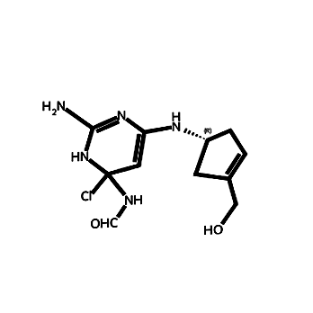 NC1=NC(N[C@@H]2CC=C(CO)C2)=CC(Cl)(NC=O)N1